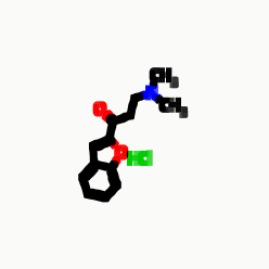 CN(C)CCC(=O)c1cc2ccccc2o1.Cl